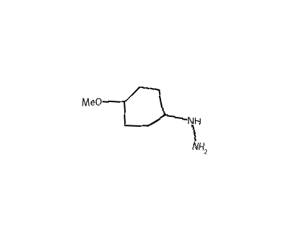 COC1CCC(NN)CC1